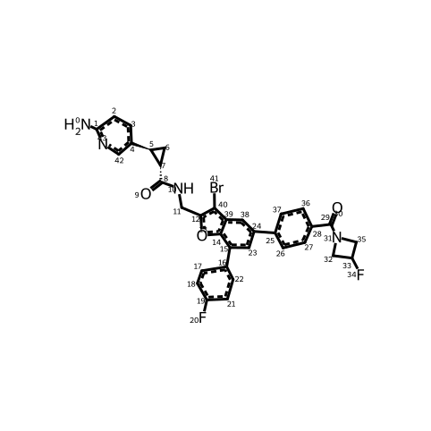 Nc1ccc([C@H]2C[C@@H]2C(=O)NCc2oc3c(-c4ccc(F)cc4)cc(-c4ccc(C(=O)N5CC(F)C5)cc4)cc3c2Br)cn1